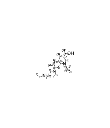 CCNCC1CCN(c2nc3c(cc2F)c(=O)c(C(=O)O)cn3C23CC(C2)C3)C1